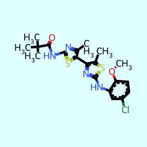 COc1ccc(Cl)cc1Nc1nc(-c2sc(NC(=O)C(C)(C)C)nc2C)c(C)s1